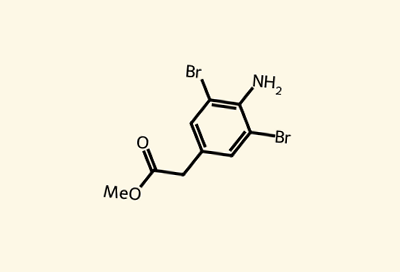 COC(=O)Cc1cc(Br)c(N)c(Br)c1